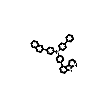 c1ccc(-c2ccc(N(c3ccc(-c4ccc5ccccc5c4)cc3)c3ccc(-c4cccc5sc6ncccc6c45)cc3)cc2)cc1